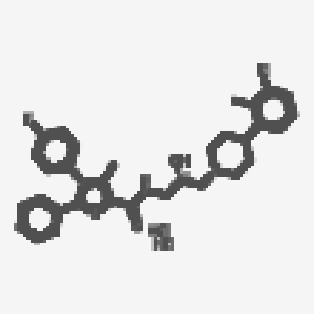 Cc1c(Cl)cccc1N1CCN(C[C@@H](O)CNC(=O)c2nc(-c3ccccc3)n(-c3ccc(F)cc3)c2C)CC1.Cl.Cl